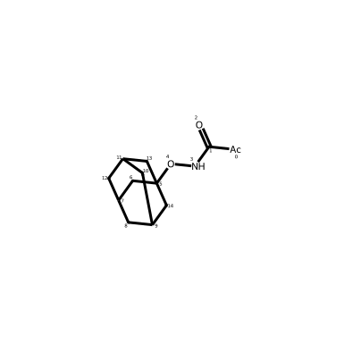 CC(=O)C(=O)NOC12CC3CC(CC(C3)C1)C2